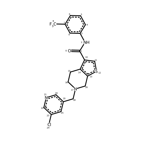 O=C(Nc1cccc(C(F)(F)F)c1)c1csc2c1CCN(Cc1cncc(Cl)c1)C2